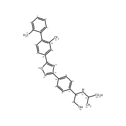 Cc1ccccc1-c1ccc(-c2nc(-c3ccc(C(CO)NC(C)C(=O)O)cc3)no2)cc1C(F)(F)F